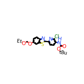 CCOCOc1ccc2nc(-c3ccc(NC(=O)OC(C)(C)C)c(Cl)n3)sc2c1